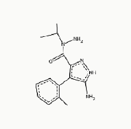 Cc1ccccc1-c1c(C(=O)N(N)C(C)C)n[nH]c1N